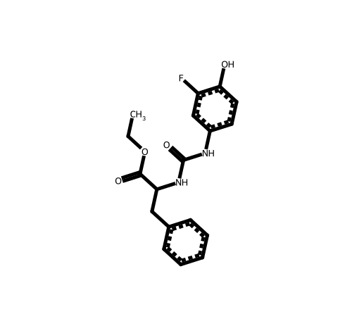 CCOC(=O)C(Cc1ccccc1)NC(=O)Nc1ccc(O)c(F)c1